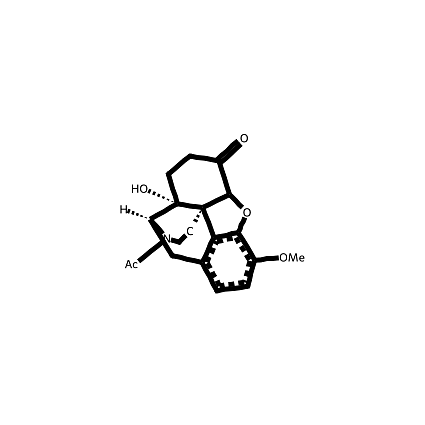 COc1ccc2c3c1OC1C(=O)CC[C@]4(O)[C@H](C2)N(C(C)=O)CC[C@@]314